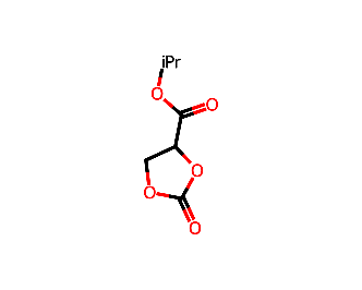 CC(C)OC(=O)C1COC(=O)O1